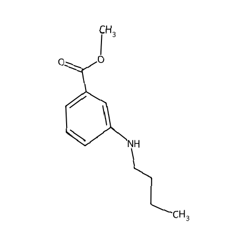 CCCCNc1cccc(C(=O)OC)c1